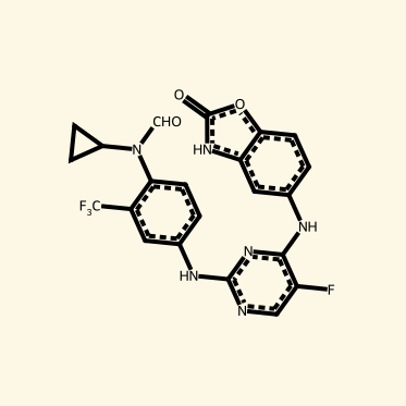 O=CN(c1ccc(Nc2ncc(F)c(Nc3ccc4oc(=O)[nH]c4c3)n2)cc1C(F)(F)F)C1CC1